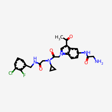 CC(=O)c1cn(CC(=O)N(CC(=O)NCc2cccc(Cl)c2F)C2CC2)c2ccc(NC(=O)CN)cc12